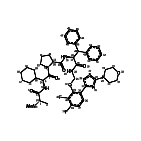 CN[C@@H](C)C(=O)N[C@H](C(=O)N1CCC[C@H]1C(=O)N[C@H](C(=O)NCOc1c(-c2csc(N3CCOCC3)n2)ccc(F)c1F)C(c1ccccc1)c1ccccc1)C1CCCCC1